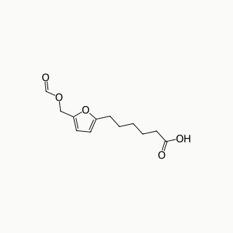 O=COCc1ccc(CCCCCC(=O)O)o1